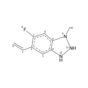 C=Cc1cc2c(cc1F)N(C)NN2